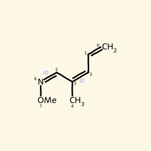 C=C/C=C(C)\C=N/OC